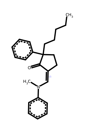 CCCCCC1(c2ccccc2)CC/C(=C/N(C)c2ccccc2)C1=O